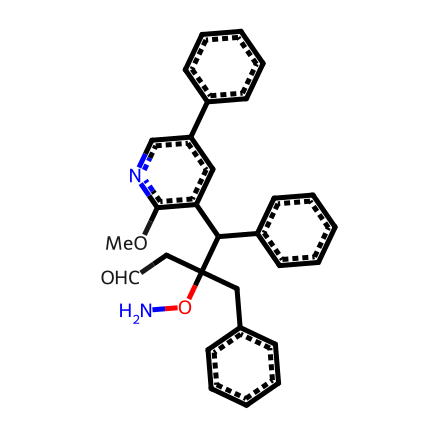 COc1ncc(-c2ccccc2)cc1C(c1ccccc1)C(CC=O)(Cc1ccccc1)ON